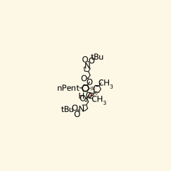 C=C(C)[C@@H]1CCC(C)=C[C@H]1c1c(OC(=O)CC2CCN(C(=O)OC(C)(C)C)C2)cc(CCCCC)cc1OC(=O)CC1CCN(C(=O)OC(C)(C)C)C1